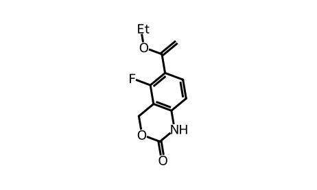 C=C(OCC)c1ccc2c(c1F)COC(=O)N2